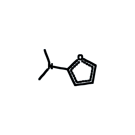 CN(C)c1ccco1